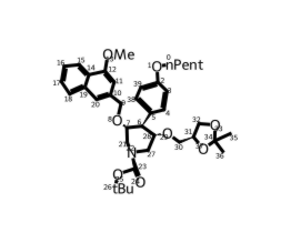 CCCCCOc1ccc([C@@H]2[C@@H](OCc3cc(OC)c4ccccc4c3)CN(C(=O)OC(C)(C)C)C[C@H]2OC[C@H]2COC(C)(C)O2)cc1